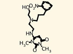 Cn1c(NCCN(CCO)CCCc2ccccc2[N+](=O)[O-])cc(=O)n(C)c1=O